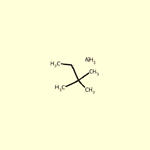 C[CH]C(C)(C)C.[AlH3]